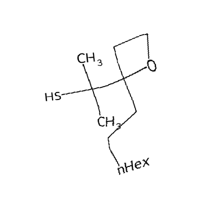 CCCCCCCCC1(C(C)(C)S)CCO1